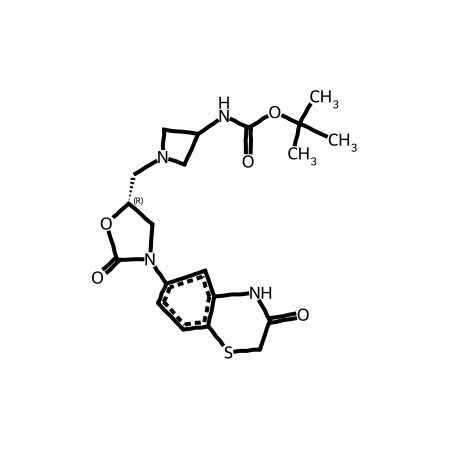 CC(C)(C)OC(=O)NC1CN(C[C@@H]2CN(c3ccc4c(c3)NC(=O)CS4)C(=O)O2)C1